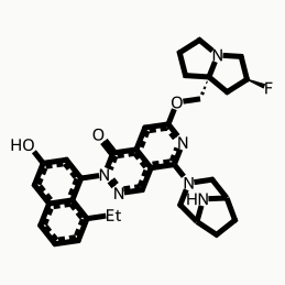 CCc1cccc2cc(O)cc(-n3ncc4c(N5CC6CCC(C5)N6)nc(OC[C@]56CCCN5C[C@@H](F)C6)cc4c3=O)c12